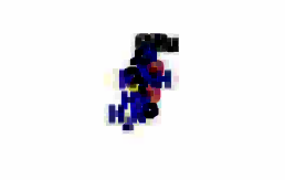 Cc1cc(OCC(C)C)ncc1N1C(=O)NC2c3c1ccnc3SC2C(=O)N[C@@H]1CCC[C@@H]1N